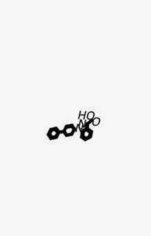 O=C(O)c1nn(C2C=CC(c3ccccc3)CC2)c2ccccc12